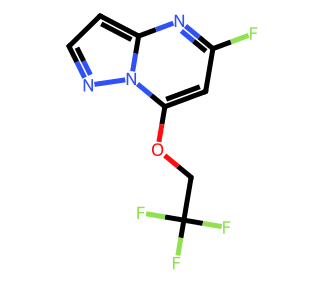 Fc1cc(OCC(F)(F)F)n2nccc2n1